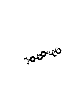 CCNc1ccc(-c2ccc3cc(OCC(CC)OC4CCCCO4)ccc3n2)cc1